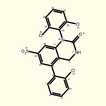 O=C1NCc2c(-c3ccccc3Cl)cc([N+](=O)[O-])cc2N1c1c(Cl)cccc1Cl